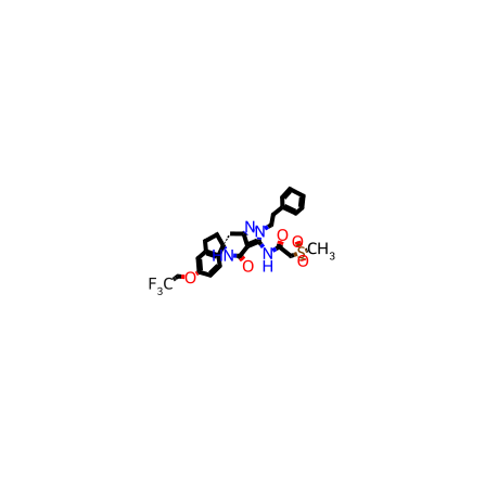 CS(=O)(=O)CC(=O)Nc1c2c(nn1CCc1ccccc1)C[C@]1(CCc3cc(OCC(F)(F)F)ccc31)NC2=O